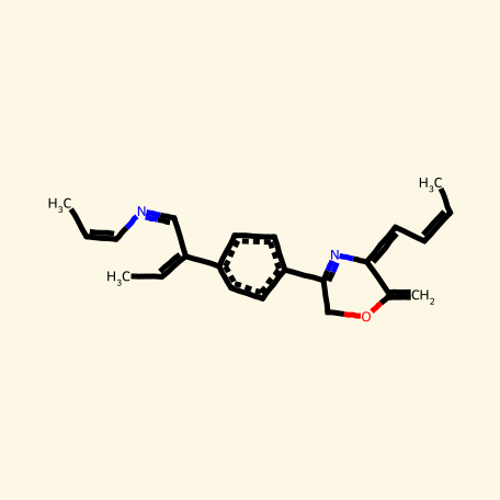 C=C1OCC(c2ccc(C(/C=N\C=C/C)=C/C)cc2)=N/C1=C/C=C\C